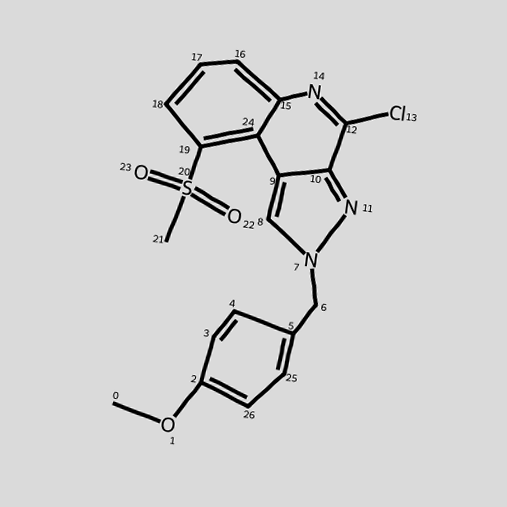 COc1ccc(Cn2cc3c(n2)c(Cl)nc2cccc(S(C)(=O)=O)c23)cc1